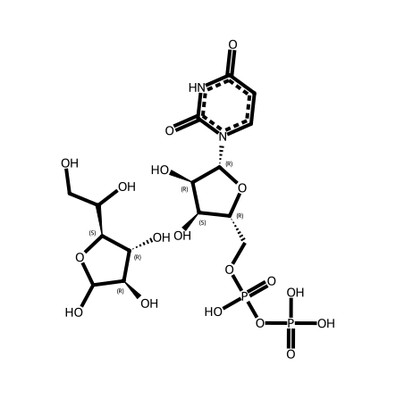 O=c1ccn([C@@H]2O[C@H](COP(=O)(O)OP(=O)(O)O)[C@@H](O)[C@H]2O)c(=O)[nH]1.OCC(O)[C@@H]1OC(O)[C@H](O)[C@H]1O